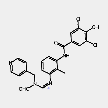 Cc1c(/N=C\N(C=O)Cc2ccncc2)cccc1NC(=O)c1cc(Cl)c(O)c(Cl)c1